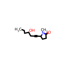 CCCC(O)CC#CC1CCC(=O)N1C